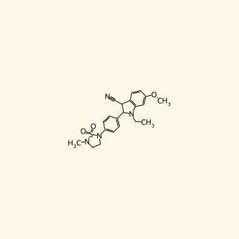 CCN1c2cc(OC)ccc2C(C#N)C1c1ccc(N2CCN(C)S2(=O)=O)cc1